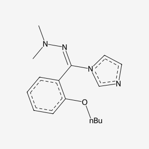 CCCCOc1ccccc1/C(=N\N(C)C)n1ccnc1